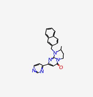 CC1CCn2c(nc(-c3ccncn3)cc2=O)N1Cc1ccc2ccccc2c1